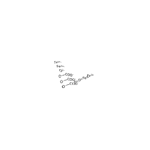 O=C([O-])[O-].O=C([O-])[O-].O=C([O-])[O-].[Fe+3].[Fe+3].[Fe+3].[Fe+3].[O-2].[O-2].[O-2]